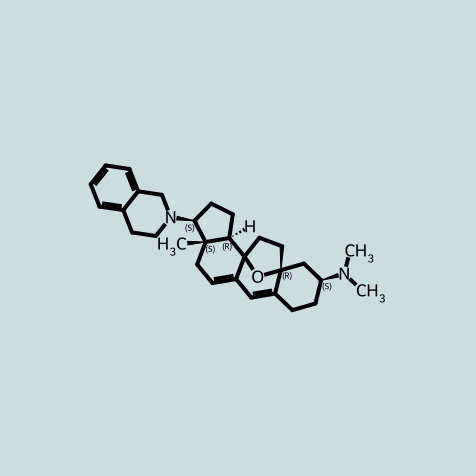 CN(C)[C@H]1CCC2=CC3=CC[C@]4(C)[C@@H](N5CCc6ccccc6C5)CC[C@H]4C34CC[C@]2(C1)O4